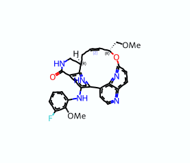 COC[C@H]1/C=C\C[C@@H]2CNC(=O)c3c2[nH]c(c3Nc2cccc(F)c2OC)-c2ccnc3ccc(nc23)O1